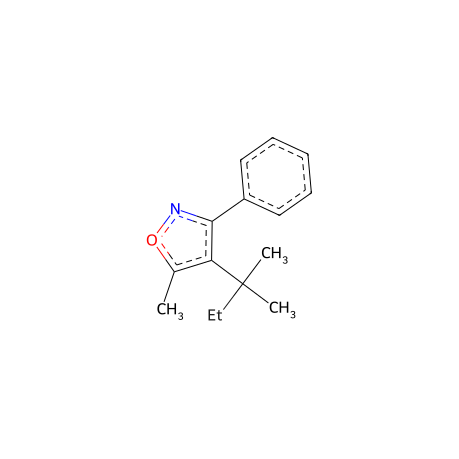 CCC(C)(C)c1c(-c2ccccc2)noc1C